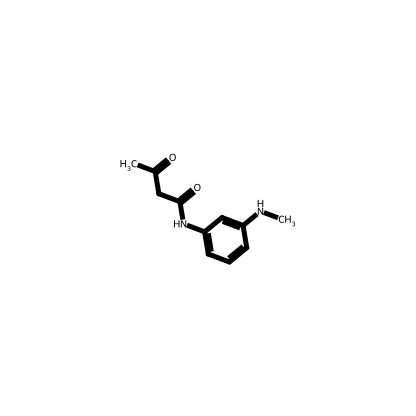 CNc1cccc(NC(=O)CC(C)=O)c1